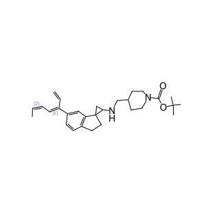 C=C/C(=C\C=C/C)c1ccc2c(c1)C1(CC2)CC1NCC1CCN(C(=O)OC(C)(C)C)CC1